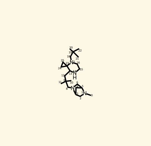 CN1CC2CC1CN2CC(C)(C)CC1NCCN(CC(C)(C)C)C12CC2